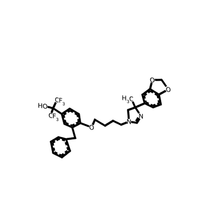 CC1(c2ccc3c(c2)OCO3)CN(CCCCOc2ccc(C(O)(C(F)(F)F)C(F)(F)F)cc2Cc2ccccc2)C=N1